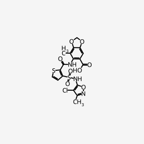 Cc1noc(NS(=O)(=O)c2ccsc2C(=O)Nc2c(C(=O)O)cc3c(c2C)OCO3)c1Cl